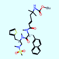 CN(C(=O)[C@@H](Cc1ccc2ccccc2c1)N(C)C(=O)C=CCC(C)(C)NC(=O)OC(C)(C)C)[C@H](Cc1cccs1)CN(C)S(C)(=O)=O